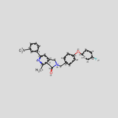 Cc1nc(-c2cccc([N+](=O)[O-])c2)cc2c1C(=O)N(Cc1ccc(Oc3ccc(F)cc3)cc1)C2